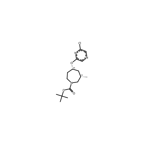 C[C@H]1C[C@@H](Oc2cncc(Cl)n2)CCN(C(=O)OC(C)(C)C)C1